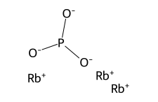 [O-]P([O-])[O-].[Rb+].[Rb+].[Rb+]